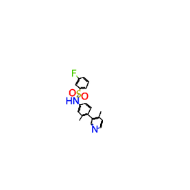 Cc1cc(NS(=O)(=O)c2cccc(F)c2)ccc1-c1cnccc1C